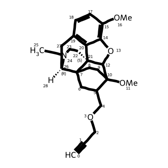 C#CCOCC1CC23CCC1(OC)C1Oc4c(OC)ccc5c4[C@@]12CCN(C)[C@@H]3C5